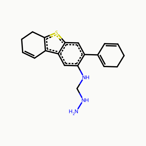 NNCNc1cc2c3c(sc2cc1C1=CCCC=C1)CCC=C3